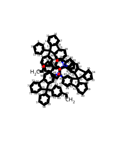 C=Cc1ccc(C2(c3ccccc3)c3ccccc3-c3ccc(N(c4ccc5c(c4)C4(c6ccccc6-5)c5ccccc5-c5ccc(N(c6ccc7c(c6)C(c6ccccc6)(c6ccc(C=C)cc6)c6ccccc6-7)c6cccc7ccccc67)cc54)c4cccc5ccccc45)cc32)cc1